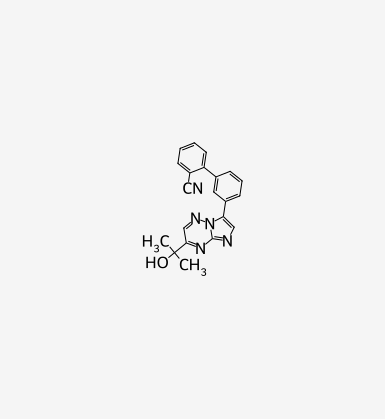 CC(C)(O)c1cnn2c(-c3cccc(-c4ccccc4C#N)c3)cnc2n1